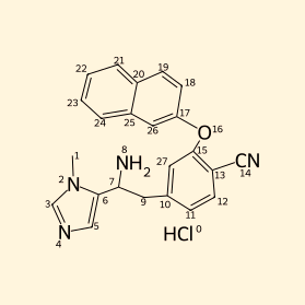 Cl.Cn1cncc1C(N)Cc1ccc(C#N)c(Oc2ccc3ccccc3c2)c1